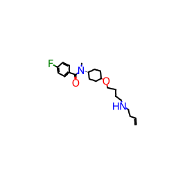 C=CCCNCCCCO[C@H]1CC[C@H](N(C)C(=O)c2ccc(F)cc2)CC1